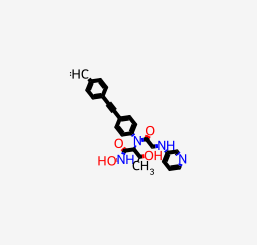 [CH]c1ccc(C#Cc2ccc(N(C(=O)CNc3cccnc3)[C@H](C(=O)NO)[C@@H](C)O)cc2)cc1